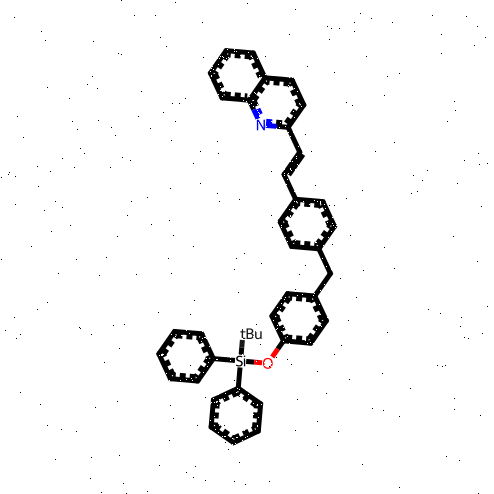 CC(C)(C)[Si](Oc1ccc(Cc2ccc(C=Cc3ccc4ccccc4n3)cc2)cc1)(c1ccccc1)c1ccccc1